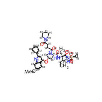 C=CC(C)[C@@](C)(NC(=O)[C@@H]1C[C@@H](Oc2cc(-c3ccccc3)nc3cc(OC)ccc23)CN1C(=O)CCC(=O)N1CCCCC1)C(=O)NS(=O)(=O)C1CC1